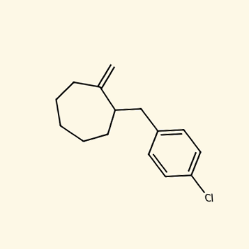 C=C1CCCCCC1Cc1ccc(Cl)cc1